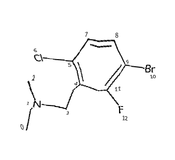 CN(C)Cc1c(Cl)ccc(Br)c1F